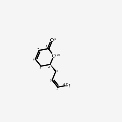 CC/C=C\C[C@H]1CC=CC(=O)O1